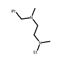 CCN(C)CCN(C)CC(C)C